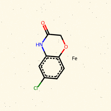 O=C1COc2ccc(Cl)cc2N1.[Fe]